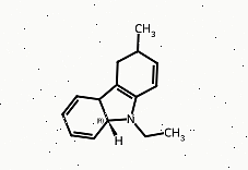 CCN1C2=C(CC(C)C=C2)C2C=CC=C[C@H]21